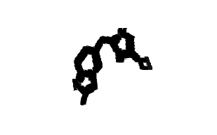 Cc1cn2cc(Cc3ncc(Cl)s3)ccc2n1